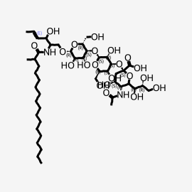 C/C=C/C(O)C(CO[C@@H]1O[C@H](CO)[C@@H](O[C@@H]2O[C@H](CO)[C@H](O)[C@H](O[C@]3(C(=O)O)C[C@H](O)[C@@H](NC(C)=O)C([C@H](O)[C@H](O)CO)O3)[C@H]2O)[C@H](O)[C@H]1O)NC(=O)C(C)CCCCCCCCCCCCCCC